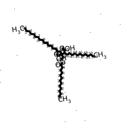 CCCCCCCCCCCCCCCCCCC(CCOC(=O)CCCCCCCCCCCCC)(C(=O)O)C(CCCCCCCCCCCC)C(=O)O